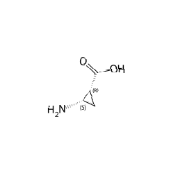 N[C@H]1C[C@H]1C(=O)O